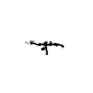 C=C(C)C(=O)OCCCCCCOc1ccc(CCC(=O)Oc2c(/C=N/N(CCCOCC3CO3)c3nc4ccccc4s3)cc(COc3ccc(OCc4ccc5cc(OCCCOC6CO6)ccc5c4)c(OC)c3)c3ccccc23)cc1